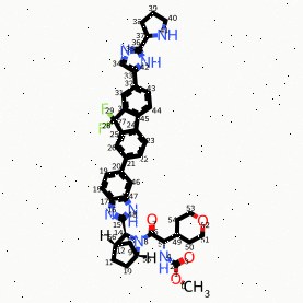 COC(=O)N[C@H](C(=O)N1[C@@H]2CC[C@@H](C2)[C@H]1c1nc2ccc(-c3ccc4c(c3)C(F)(F)c3cc(-c5cnc(C6CCCN6)[nH]5)ccc3-4)cc2[nH]1)C1CCOCC1